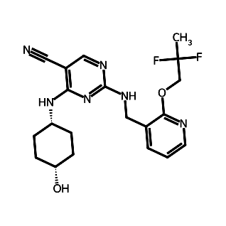 CC(F)(F)COc1ncccc1CNc1ncc(C#N)c(N[C@H]2CC[C@@H](O)CC2)n1